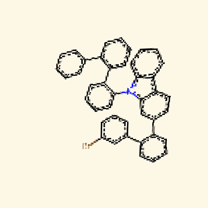 Brc1cccc(-c2ccccc2-c2ccc3c4ccccc4n(-c4ccccc4-c4ccccc4-c4ccccc4)c3c2)c1